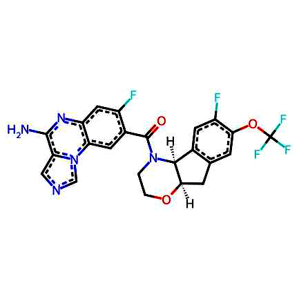 Nc1nc2cc(F)c(C(=O)N3CCO[C@@H]4Cc5cc(OC(F)(F)F)c(F)cc5[C@@H]43)cc2n2cncc12